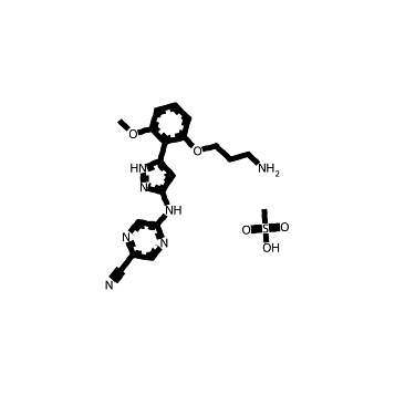 COc1cccc(OCCCN)c1-c1cc(Nc2cnc(C#N)cn2)n[nH]1.CS(=O)(=O)O